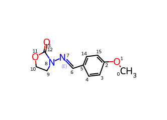 COc1ccc(/C=N/N2CCOC2=O)cc1